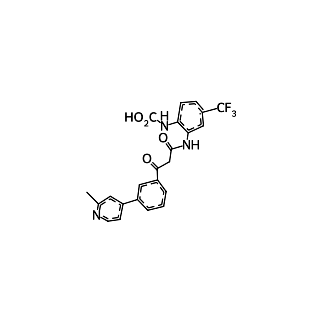 Cc1cc(-c2cccc(C(=O)CC(=O)Nc3cc(C(F)(F)F)ccc3NC(=O)O)c2)ccn1